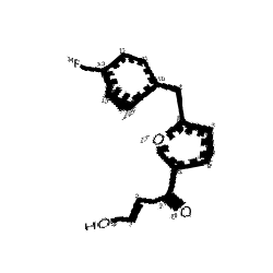 O=C(C=CO)c1ccc(Cc2ccc(F)cc2)o1